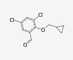 O=Cc1cc(Cl)cc(Cl)c1OCC1CC1